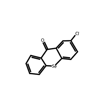 O=c1c2ccccc2[se]c2ccc(Cl)cc12